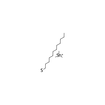 CCCCCCCCCCCC[S-].[CH3][Sn+]([CH3])[CH3]